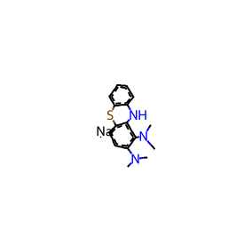 CN(C)c1ccc2c(c1N(C)C)Nc1ccccc1S2.[Na]